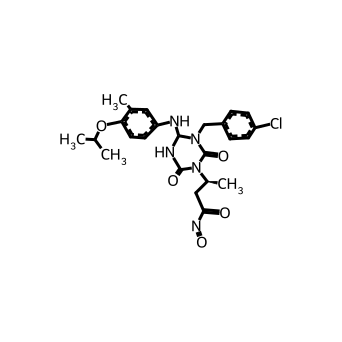 Cc1cc(NC2NC(=O)N([C@@H](C)CC(=O)N=O)C(=O)N2Cc2ccc(Cl)cc2)ccc1OC(C)C